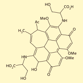 COC1=CC(=O)C2=C3C1=C1C(OC)=CC(=O)c4c(NC(CO)C(=O)O)c(OC)c5c(c41)C3C(=C(NC(CO)C(=O)O)C2O)C=C(C)C5C(C)=O